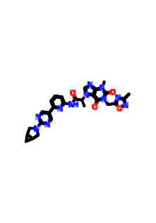 Cc1noc(Cn2c(=O)c3c(ncn3[C@@H](C)C(=O)Nc3cccc(-c4cnc(N5CC6CC6C5)nc4)n3)n(C)c2=O)n1